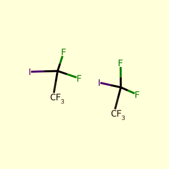 FC(F)(F)C(F)(F)I.FC(F)(F)C(F)(F)I